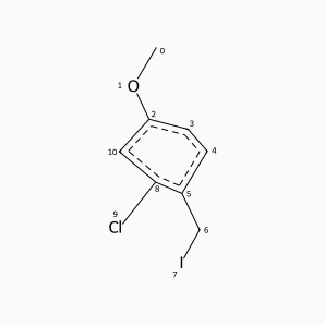 COc1ccc(CI)c(Cl)c1